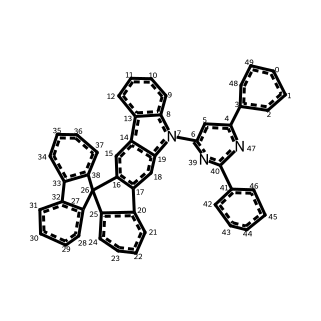 c1ccc(-c2cc(-n3c4ccccc4c4cc5c(cc43)-c3ccccc3C53c4ccccc4-c4ccccc43)nc(-c3ccccc3)n2)cc1